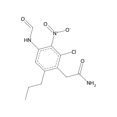 CCCc1cc(NC=O)c([N+](=O)[O-])c(Cl)c1CC(N)=O